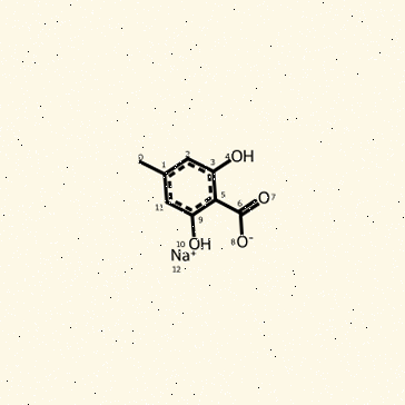 Cc1cc(O)c(C(=O)[O-])c(O)c1.[Na+]